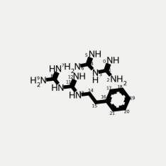 N=C(N)NC(=N)N.N=C(N)NC(=N)NCCc1ccccc1